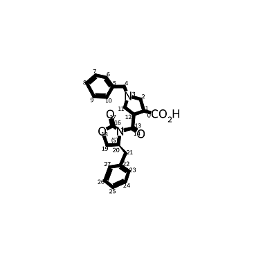 O=C(O)C1CN(Cc2ccccc2)CC1C(=O)N1C(=O)OC[C@@H]1Cc1ccccc1